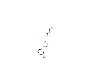 O=C(O)/C=C/C(=O)OC[C@H]1O[C@@H]([n+]2cccc(C(=O)O)c2)[C@H](O)[C@@H]1O